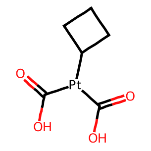 O=[C](O)[Pt]([C](=O)O)[CH]1CCC1